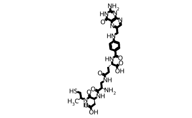 C[C@H](CS)NC(=O)[C@H](CC(=O)O)NC(=O)[C@@H](N)CNC(=O)CC[C@H](NC(=O)c1ccc(NCc2cnc3nc(N)[nH]c(=O)c3n2)cc1)C(=O)O